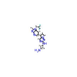 Cc1nc2ncc(-c3ccn4nc(N[C@H]5C[C@H](N)C5)ncc34)cc2n1CC(F)F